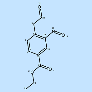 CCOC(=O)c1ccc(CC=O)c(N=O)c1